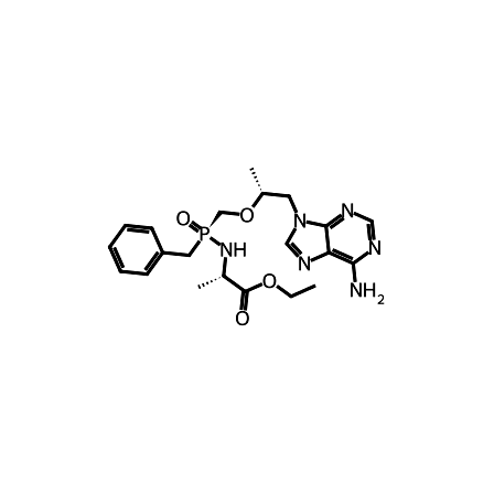 CCOC(=O)[C@H](C)N[P@](=O)(CO[C@H](C)Cn1cnc2c(N)ncnc21)Cc1ccccc1